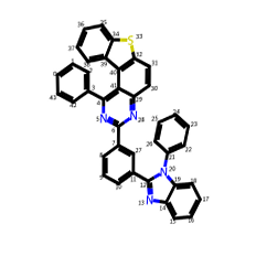 c1ccc(-c2nc(-c3cccc(-c4nc5ccccc5n4-c4ccccc4)c3)nc3ccc4sc5ccccc5c4c23)cc1